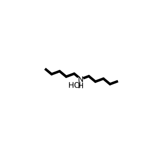 CCCCCNCCCCC.Cl